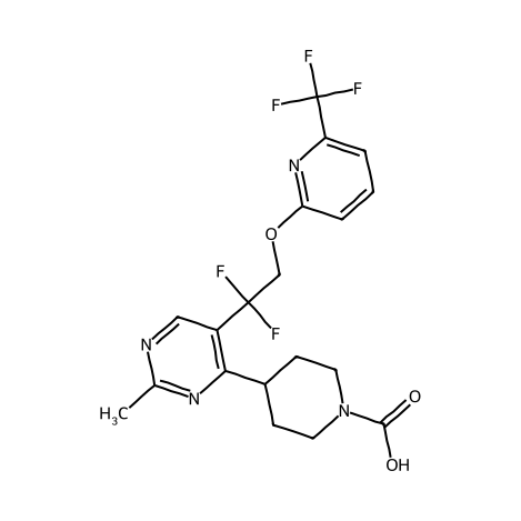 Cc1ncc(C(F)(F)COc2cccc(C(F)(F)F)n2)c(C2CCN(C(=O)O)CC2)n1